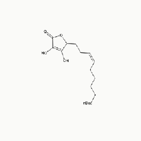 CCCCCCCCCCCCCC/C=C\CCC1OC(=O)C(O)=C1O